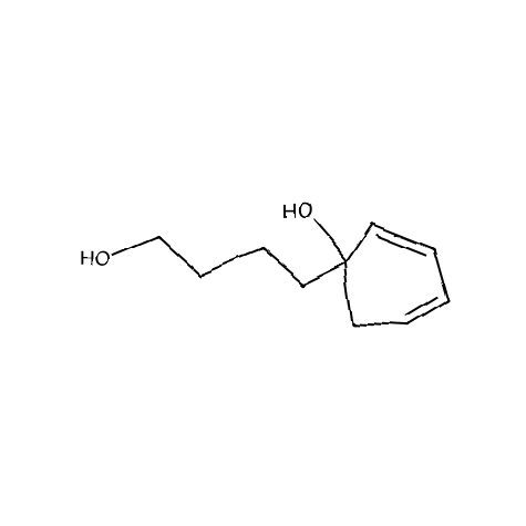 OCCCCC1(O)C=CC=CC1